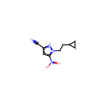 N#Cc1cc([N+](=O)[O-])n(CCC2CC2)n1